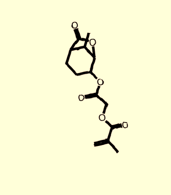 C=C(C)C(=O)OCC(=O)OC1CCC2C(=O)OC1C2C